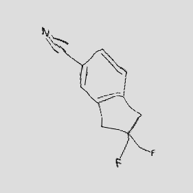 N#Cc1ccc2c(c1)CC(F)(F)C2